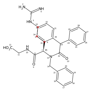 N=C(N)NCCC[C@H](C(=O)NCC(=O)O)N(Cc1ccccc1)C(=O)C(c1ccccc1)c1ccccc1